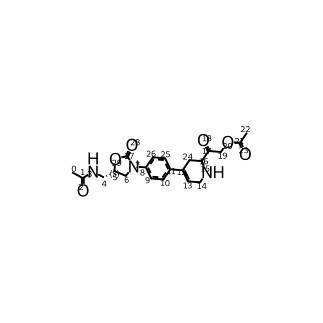 CC(=O)NC[C@H]1CN(c2ccc(C3=CCNC(C(=O)COC(C)=O)C3)cc2)C(=O)O1